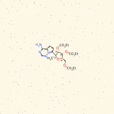 CCOC(=O)OC[C@H]1O[C@@](C)(c2ccc3c(N)ncnn23)[C@H](OC(=O)OCC)[C@@H]1OC(=O)OCC